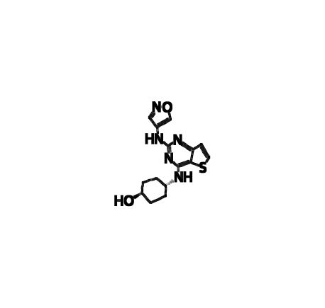 O[C@H]1CC[C@H](Nc2nc(Nc3cnoc3)nc3ccsc23)CC1